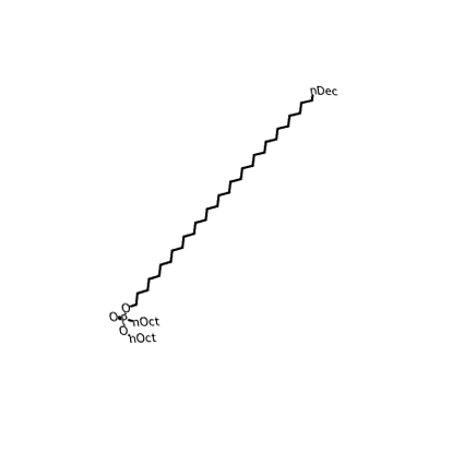 CCCCCCCCCCCCCCCCCCCCCCCCCCCCCCCCCCCCCCCCCOP(=O)(CCCCCCCC)OCCCCCCCC